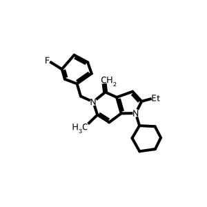 C=C1c2cc(CC)n(C3CCCCC3)c2C=C(C)N1Cc1cccc(F)c1